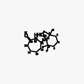 CC1(C)CCCC(C)(C)[N+]1(O)C1CCCCC(=O)N1